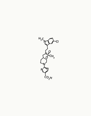 Cn1cc(CCN(CC2CCN(c3ncc(C(=O)O)cn3)CC2)S(C)(=O)=O)c2cc(Cl)ccc21